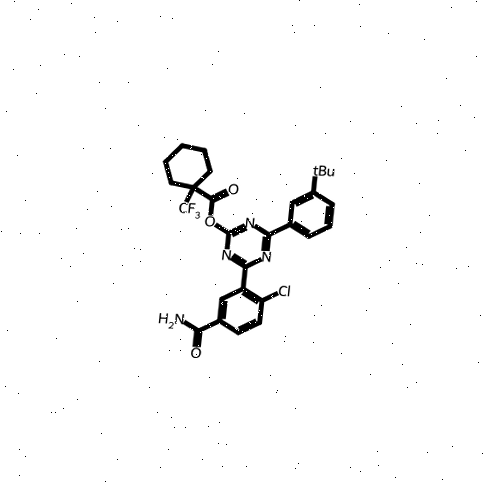 CC(C)(C)c1cccc(-c2nc(OC(=O)C3(C(F)(F)F)CCCCC3)nc(-c3cc(C(N)=O)ccc3Cl)n2)c1